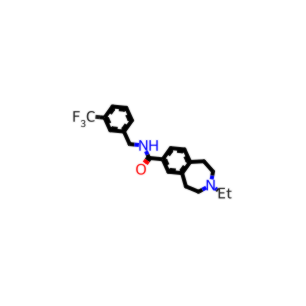 CCN1CCc2ccc(C(=O)NCc3cccc(C(F)(F)F)c3)cc2CC1